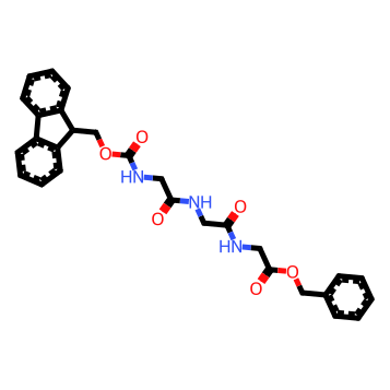 O=C(CNC(=O)CNC(=O)OCC1c2ccccc2-c2ccccc21)NCC(=O)OCc1ccccc1